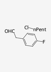 CCCCCCl.O=CCc1ccc(F)cc1